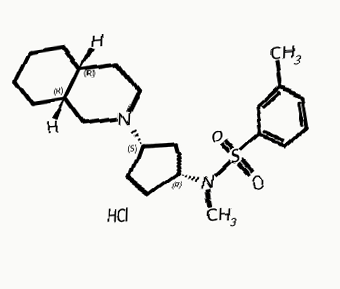 Cc1cccc(S(=O)(=O)N(C)[C@@H]2CC[C@H](N3CC[C@H]4CCCC[C@H]4C3)C2)c1.Cl